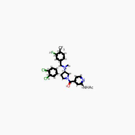 CC(=O)Nc1cc(C(=O)N2C[C@H](c3ccc(Cl)c(Cl)c3)[C@@H](N(C)Cc3ccc(C(F)(F)F)c(F)c3)C2)ccn1